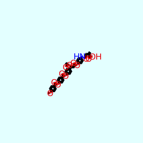 C=C(CC(=O)Nc1ccc(OC(=O)CC(OC(C)=O)c2ccc(OC(=O)c3ccc(OC(=O)c4ccc(OC)cc4)cc3)cc2)cc1)C(=O)O